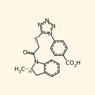 C[C@H]1Cc2ccccc2N1C(=O)CSc1nnnn1-c1ccc(C(=O)O)cc1